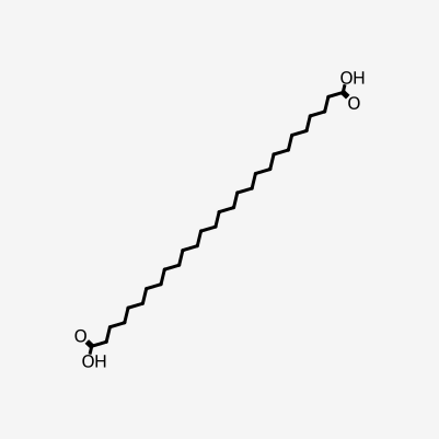 O=C(O)CCCCCCCCCCCCCCCCCCCCCCCCCCC(=O)O